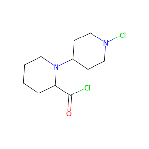 O=C(Cl)C1CCCCN1C1CCN(Cl)CC1